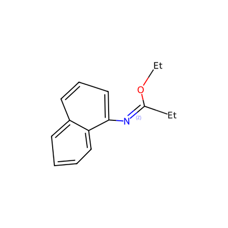 CCO/C(CC)=N\c1cccc2ccccc12